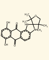 CC1(C)COC(C)(C)C12Nc1ccc3c(c1N2)C(=O)c1c(O)ccc(O)c1C3=O